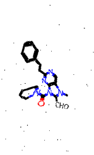 CN1c2cnc(CCc3ccccc3)nc2N(C(=O)N2CCCC2)C1C=O